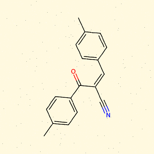 Cc1ccc(C=C(C#N)C(=O)c2ccc(C)cc2)cc1